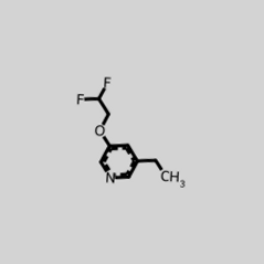 CCc1cncc(OCC(F)F)c1